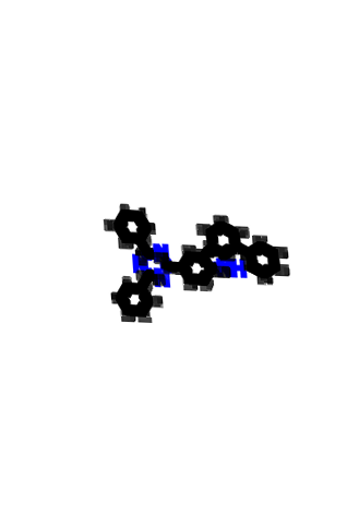 c1ccc(-c2nc(-c3ccccc3)nc(-c3ccc4[nH]c5c(-c6ccccc6)cccc5c4c3)n2)cc1